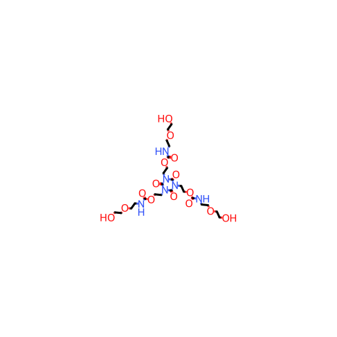 O=C(NCCOCCO)OCCn1c(=O)n(CCOC(=O)NCCOCCO)c(=O)n(CCOC(=O)NCCOCCO)c1=O